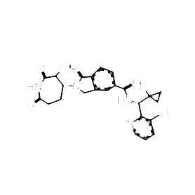 O=C1CC[C@H](N2Cc3cc(C(=O)N[C@H](c4ncccc4Cl)C4(F)CC4)ccc3C2=O)C([SiH3])C(=O)N1